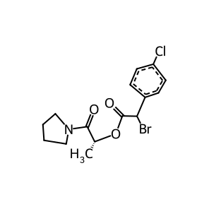 C[C@@H](OC(=O)C(Br)c1ccc(Cl)cc1)C(=O)N1CCCC1